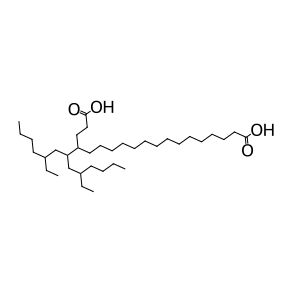 CCCCC(CC)CC(CC(CC)CCCC)C(CCCCCCCCCCCCCCC(=O)O)CCC(=O)O